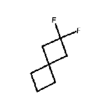 FC1(F)CC2(CCC2)C1